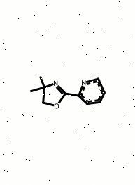 CC1(C)COC(c2ccccn2)=N1